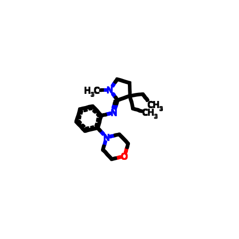 CCC1(CC)CCN(C)/C1=N\c1ccccc1N1CCOCC1